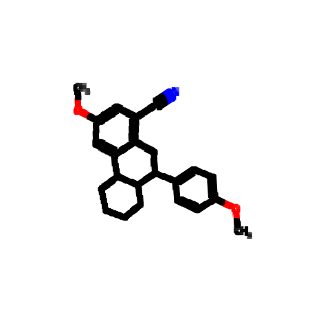 COc1ccc(C2Cc3c(C#N)cc(OC)cc3C3CCCCC23)cc1